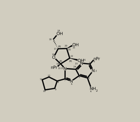 CCCc1nc(N)c2nc(C3CCCC3)n([C@]3(CCC)O[C@H](CO)[C@@H](O)[C@H]3O)c2n1